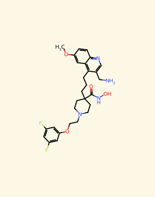 COc1ccc2ncc(CN)c(CCCC3(C(=O)NO)CCN(CCOc4cc(F)cc(F)c4)CC3)c2c1